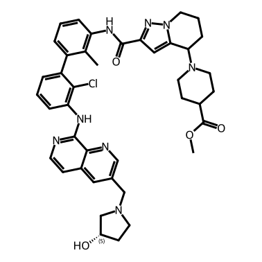 COC(=O)C1CCN(C2CCCn3nc(C(=O)Nc4cccc(-c5cccc(Nc6nccc7cc(CN8CC[C@H](O)C8)cnc67)c5Cl)c4C)cc32)CC1